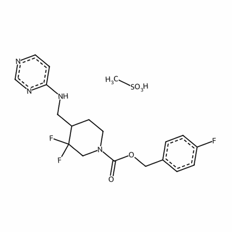 CS(=O)(=O)O.O=C(OCc1ccc(F)cc1)N1CCC(CNc2ccncn2)C(F)(F)C1